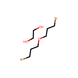 BrCCCOCCCBr.OCCO